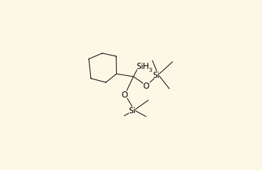 C[Si](C)(C)OC([SiH3])(O[Si](C)(C)C)C1CCCCC1